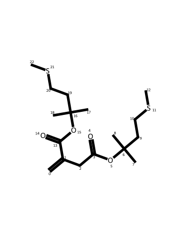 C=C(CC(=O)OC(C)(C)CCSC)C(=O)OC(C)(C)CCSC